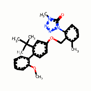 COc1ccccc1-c1ccc(OCc2c(C)cccc2-n2nnn(C)c2=O)cc1C(C)(C)C